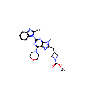 CCc1nc2ccccc2n1-c1nc(N2CCOCC2)c2nc(CC3CN(C(=O)OC(C)(C)C)C3)n(C)c2n1